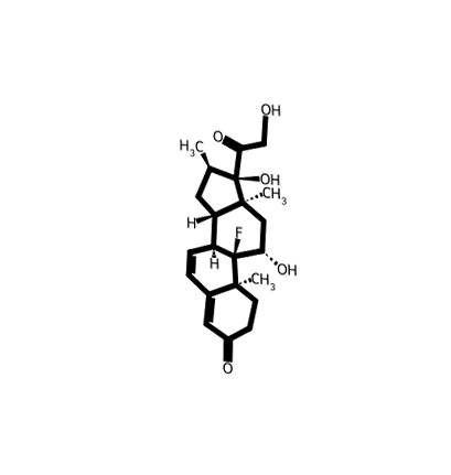 C[C@@H]1C[C@H]2[C@@H]3C=CC4=CC(=O)CC[C@]4(C)[C@@]3(F)[C@@H](O)C[C@]2(C)[C@@]1(O)C(=O)CO